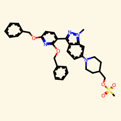 Cn1nc(-c2ccc(OCc3ccccc3)nc2OCc2ccccc2)c2ccc(N3CCC(COS(C)(=O)=O)CC3)cc21